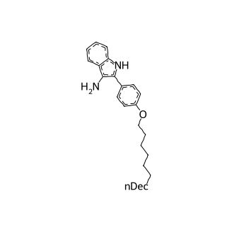 CCCCCCCCCCCCCCCCOc1ccc(-c2[nH]c3ccccc3c2N)cc1